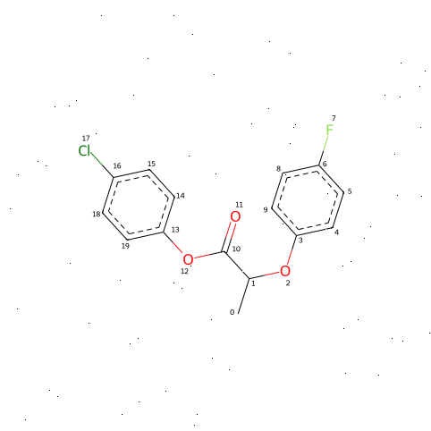 CC(Oc1ccc(F)cc1)C(=O)Oc1ccc(Cl)cc1